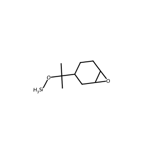 CC(C)(O[SiH3])C1CCC2OC2C1